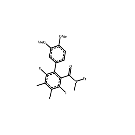 CCN(C)C(=O)c1c(F)c(F)c(C)c(F)c1-c1ccc(OC)c(OC)c1